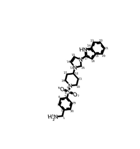 NCc1ccc(S(=O)(=O)N2CCC(N3C=CN(c4cc5ccccc5[nH]4)C3)CC2)cc1